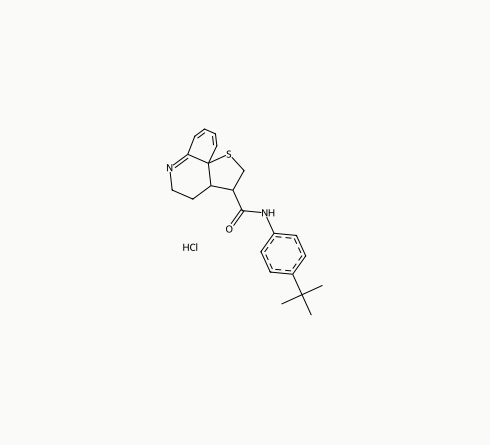 CC(C)(C)c1ccc(NC(=O)C2CSC34C=CC=CC3=NCCC24)cc1.Cl